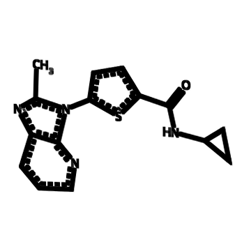 Cc1nc2cccnc2n1-c1ccc(C(=O)NC2CC2)s1